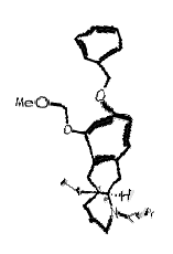 CCCN1CCC[C@@H]2Cc3c(ccc(OCc4ccccc4)c3OCOC)C[C@H]21